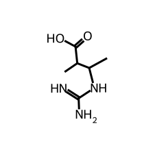 CC(NC(=N)N)C(C)C(=O)O